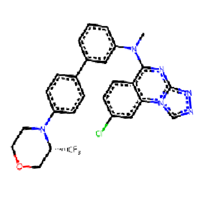 CN(c1cccc(-c2ccc(N3CCOC[C@H]3C(F)(F)F)cc2)c1)c1nc2nncn2c2cc(Cl)ccc12